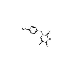 CC(=O)Oc1ccc(Cn2cc(F)c(=O)[nH]c2=O)cc1